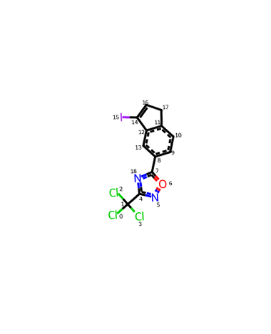 ClC(Cl)(Cl)c1noc(-c2ccc3c(c2)C(I)=CC3)n1